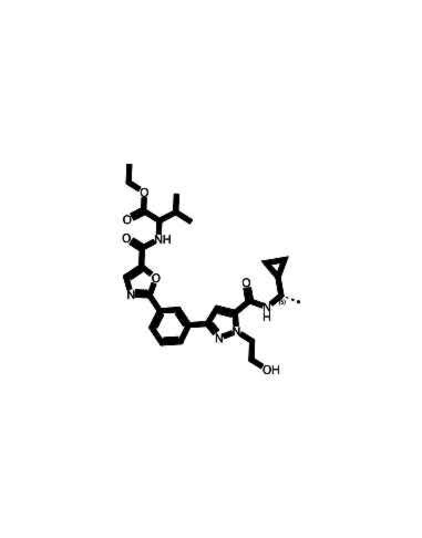 CCOC(=O)C(NC(=O)c1cnc(-c2cccc(-c3cc(C(=O)N[C@@H](C)C4CC4)n(CCO)n3)c2)o1)C(C)C